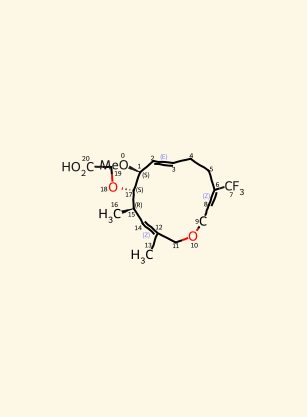 CO[C@H]1/C=C/CC/C(C(F)(F)F)=C/COC/C(C)=C\[C@@H](C)[C@@H]1OCC(=O)O